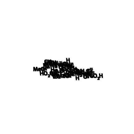 C#CCC(O)c1cnc(N(C(=O)O)C(C)(C)C)s1.COCc1cc(C(=O)Nc2ncc([C@@H]3C[C@H](OC(=O)NC4(C)CC4)CO3)s2)n(C)n1.COCc1cc(C(=O)Nc2ncc([C@H]3C[C@@H](N(C(=O)O)C4(C)CC4)CO3)s2)n(C)n1